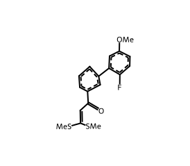 COc1ccc(F)c(-c2cccc(C(=O)C=C(SC)SC)c2)c1